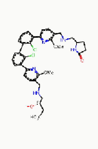 COc1nc(-c2cccc(-c3cccc(-c4ccc(CNC[C@@H](O)CC(=O)O)c(OC)n4)c3Cl)c2Cl)ccc1CNCC1CCC(=O)N1